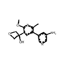 COc1nc(C)c(-c2cncc(N)c2)cc1C1(O)COC1